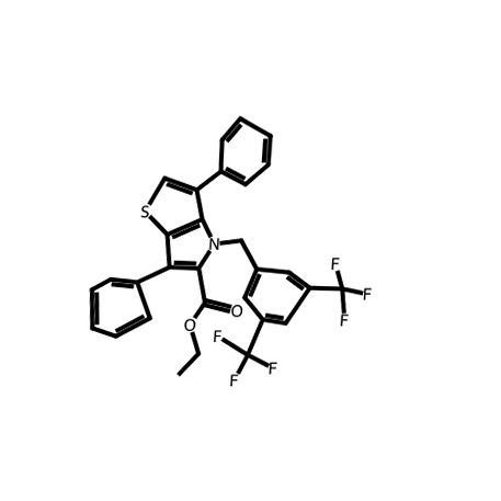 CCOC(=O)c1c(-c2ccccc2)c2scc(-c3ccccc3)c2n1Cc1cc(C(F)(F)F)cc(C(F)(F)F)c1